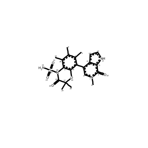 Cc1c(C)c(-c2cn(C)c(=O)c3[nH]ccc23)c2c(c1C)N(S(N)(=O)=O)C(=O)C(C)(C)O2